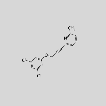 Cc1cccc(C#CCOc2cc(Cl)cc(Cl)c2)n1